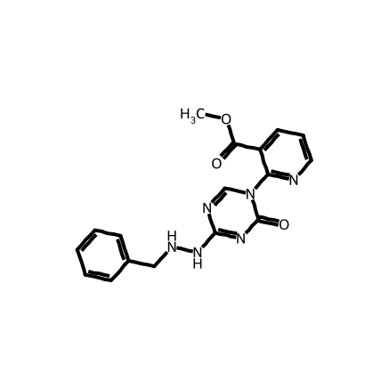 COC(=O)c1cccnc1-n1cnc(NNCc2ccccc2)nc1=O